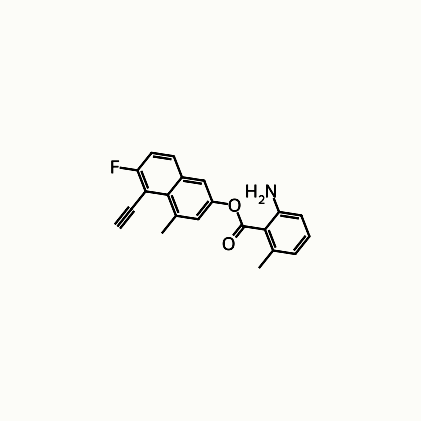 C#Cc1c(F)ccc2cc(OC(=O)c3c(C)cccc3N)cc(C)c12